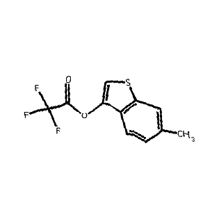 Cc1ccc2c(OC(=O)C(F)(F)F)csc2c1